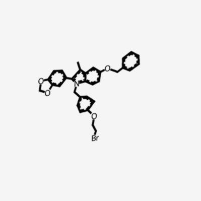 Cc1c(-c2ccc3c(c2)OCO3)n(Cc2ccc(OCCBr)cc2)c2ccc(OCc3ccccc3)cc12